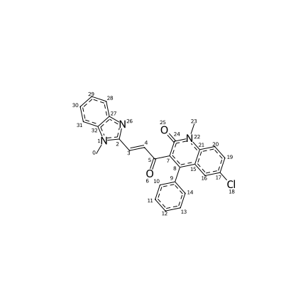 Cn1c(/C=C/C(=O)c2c(-c3ccccc3)c3cc(Cl)ccc3n(C)c2=O)nc2ccccc21